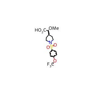 COC(C(=O)O)=C1CCN(S(=O)(=O)c2ccc(OC(F)(F)F)cc2)CC1